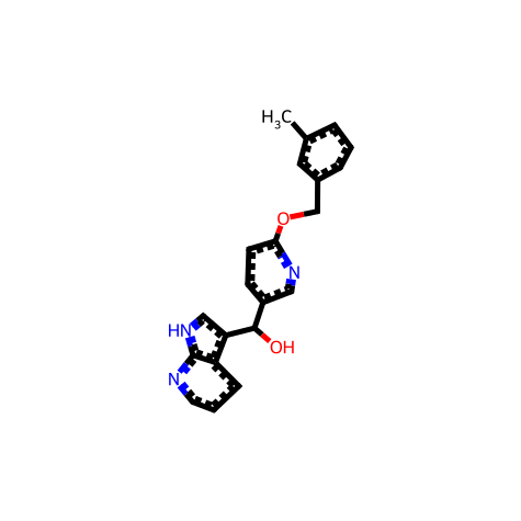 Cc1cccc(COc2ccc(C(O)c3c[nH]c4ncccc34)cn2)c1